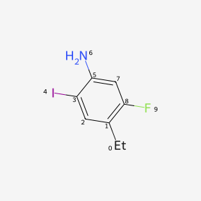 CCc1cc(I)c(N)cc1F